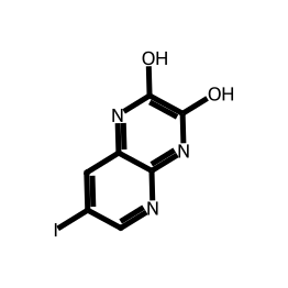 Oc1nc2cc(I)cnc2nc1O